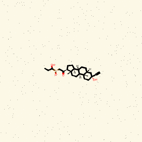 C#C[C@@]1(O)CC[C@@]2(C)[C@H](CC[C@@H]3[C@@H]2CC[C@]2(C)[C@@H](C(=O)C[S+]([O-])C(O)CC)CC[C@@H]32)C1